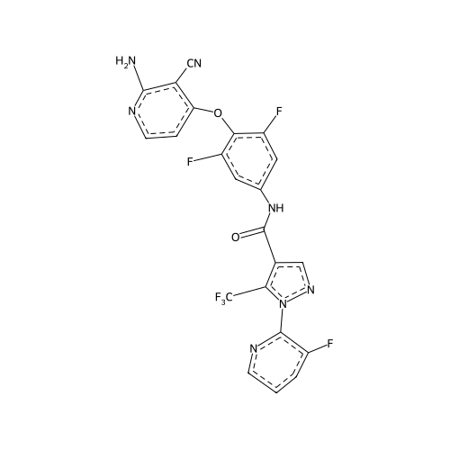 N#Cc1c(Oc2c(F)cc(NC(=O)c3cnn(-c4ncccc4F)c3C(F)(F)F)cc2F)ccnc1N